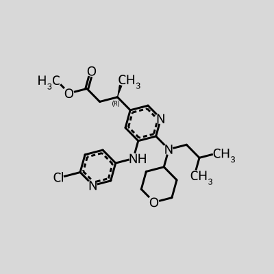 COC(=O)C[C@@H](C)c1cnc(N(CC(C)C)C2CCOCC2)c(Nc2ccc(Cl)nc2)c1